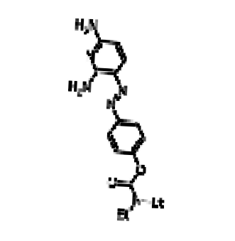 CCN(CC)C(=O)Oc1ccc(/N=N/c2ccc(N)nc2N)cc1